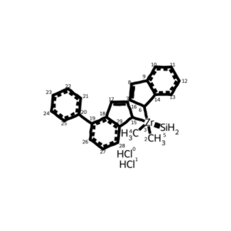 Cl.Cl.[CH3][Zr]([CH3])(=[SiH2])([CH]1C=Cc2ccccc21)[CH]1C=Cc2c(-c3ccccc3)cccc21